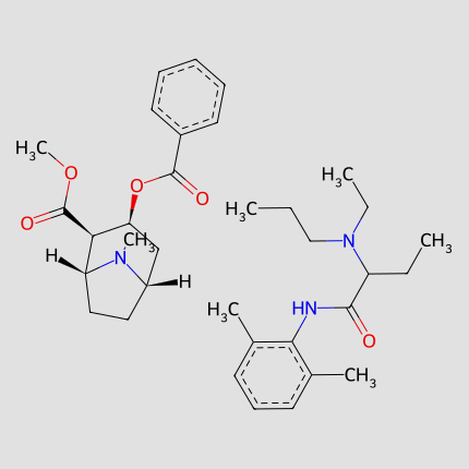 CCCN(CC)C(CC)C(=O)Nc1c(C)cccc1C.COC(=O)[C@H]1[C@@H](OC(=O)c2ccccc2)C[C@@H]2CC[C@H]1N2C